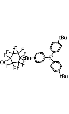 CC(C)(C)c1ccc([S+](c2ccc(C(C)(C)C)cc2)c2ccc(C(C)(C)C)cc2)cc1.O=C([O-])C1(F)C(F)(F)C(F)(F)C(F)(F)C(F)(F)C1(F)F